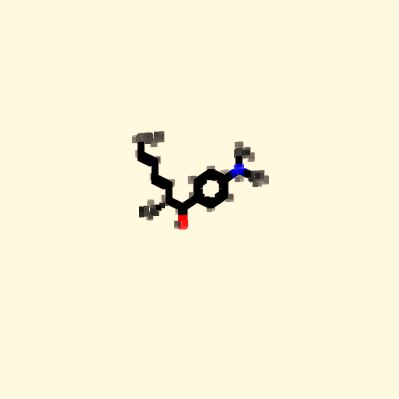 C[C@H](C=CC=CC(=O)O)C(=O)c1ccc(N(C)C)cc1